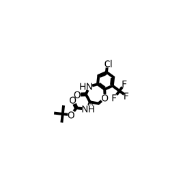 CC(C)(C)OC(=O)N[C@H]1COc2c(cc(Cl)cc2C(F)(F)F)NC1=O